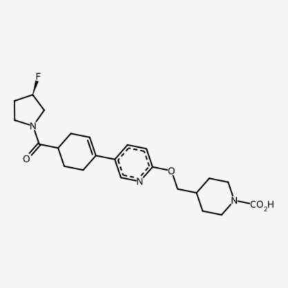 O=C(O)N1CCC(COc2ccc(C3=CCC(C(=O)N4CC[C@@H](F)C4)CC3)cn2)CC1